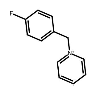 Fc1ccc(C[n+]2cc[c]cc2)cc1